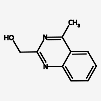 Cc1nc(CO)nc2ccccc12